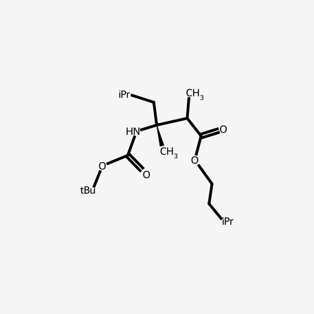 CC(C)CCOC(=O)C(C)[C@@](C)(CC(C)C)NC(=O)OC(C)(C)C